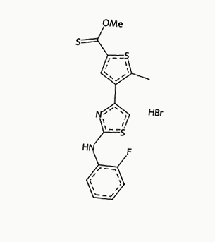 Br.COC(=S)c1cc(-c2csc(Nc3ccccc3F)n2)c(C)s1